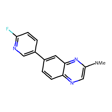 CNc1cnc2ccc(-c3ccc(F)nc3)cc2n1